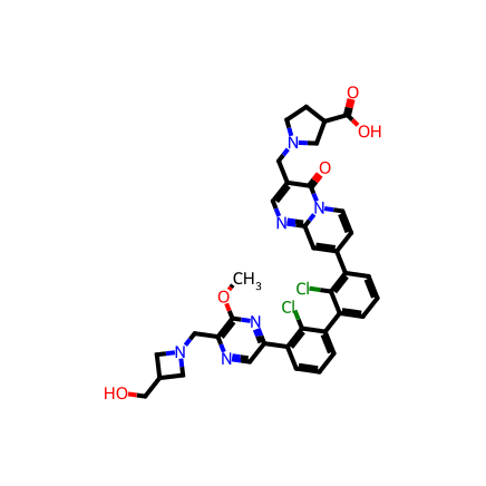 COc1nc(-c2cccc(-c3cccc(-c4ccn5c(=O)c(CN6CCC(C(=O)O)C6)cnc5c4)c3Cl)c2Cl)cnc1CN1CC(CO)C1